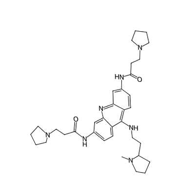 CN1CCCC1CCNc1c2ccc(NC(=O)CCN3CCCC3)cc2nc2cc(NC(=O)CCN3CCCC3)ccc12